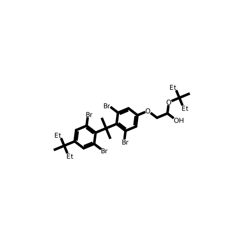 CCC(C)(CC)OC(O)COc1cc(Br)c(C(C)(C)c2c(Br)cc(C(C)(CC)CC)cc2Br)c(Br)c1